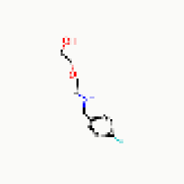 OCCOCCNCc1ccc(F)cc1